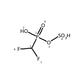 O=P(O)(OS(=O)(=O)O)C(F)F